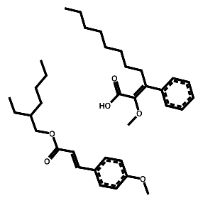 CCCCC(CC)COC(=O)C=Cc1ccc(OC)cc1.CCCCCCCCC(=C(OC)C(=O)O)c1ccccc1